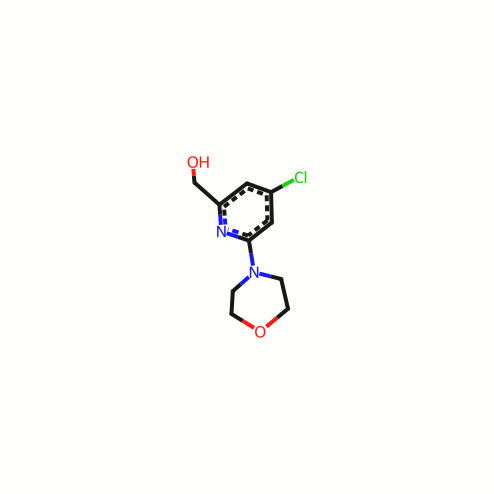 OCc1cc(Cl)cc(N2CCOCC2)n1